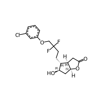 O=C1C[C@@H]2[C@@H](CCC(F)(F)COc3cccc(Cl)c3)[C@H](O)C[C@@H]2O1